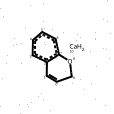 C1=Cc2ccccc2OC1.[CaH2]